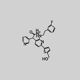 NC(=O)C(c1cccnc1)c1ccc(-c2ccc(CO)s2)nc1NCCc1cccc(F)c1